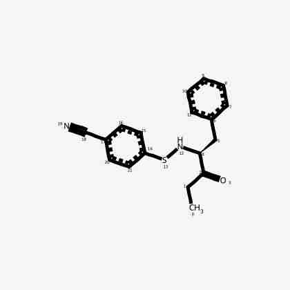 CCC(=O)[C@H](Cc1ccccc1)NSc1ccc(C#N)cc1